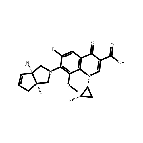 COc1c(N2C[C@H]3CC=C[C@@]3(N)C2)c(F)cc2c(=O)c(C(=O)O)cn([C@@H]3C[C@@H]3F)c12